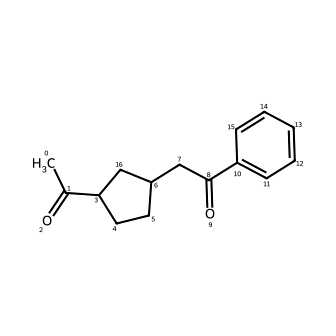 CC(=O)C1CCC(CC(=O)c2ccccc2)C1